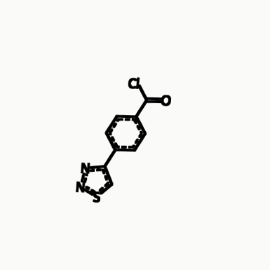 O=C(Cl)c1ccc(-c2csnn2)cc1